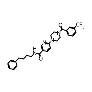 O=C(NCCCCc1ccccc1)c1ccc(N2CCN(C(=O)c3cccc(C(F)(F)F)c3)CC2)nc1